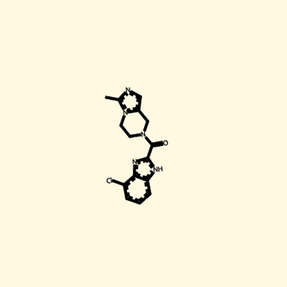 Cc1ncc2n1CCN(C(=O)c1nc3c(Cl)cccc3[nH]1)C2